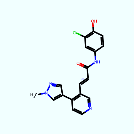 Cn1cc(-c2ccncc2/C=C/C(=O)Nc2ccc(O)c(Cl)c2)cn1